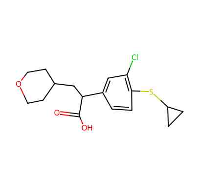 O=C(O)C(CC1CCOCC1)c1ccc(SC2CC2)c(Cl)c1